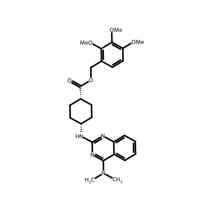 COc1ccc(COC(=O)[C@H]2CC[C@@H](Nc3nc(N(C)C)c4ccccc4n3)CC2)c(OC)c1OC